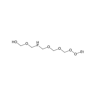 CCOOCOCOCPCOCO